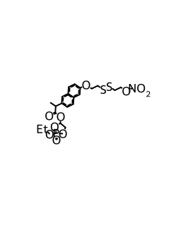 CCOP1(=O)OCC(OC(=O)C(C)c2ccc3cc(OCCSSCCO[N+](=O)[O-])ccc3c2)O1